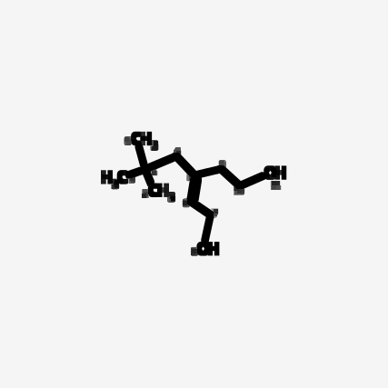 CC(C)(C)CC(=CCO)CCO